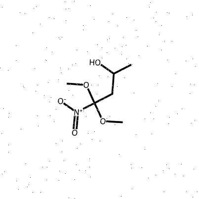 COC(CC(C)O)(OC)[N+](=O)[O-]